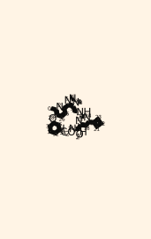 Cc1nc(-c2nnn(C)c2CNc2nc(C(N)=O)cc(C3CCC3)n2)ccc1O[C@H]1CCC[C@H](C(=O)O)C1